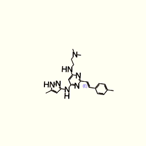 Cc1ccc(/C=C/c2nc(NCCN(C)C)cc(Nc3cc(C)[nH]n3)n2)cc1